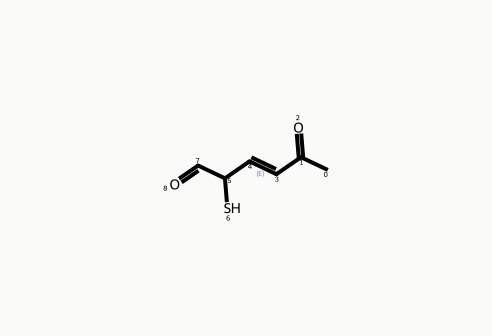 CC(=O)/C=C/C(S)C=O